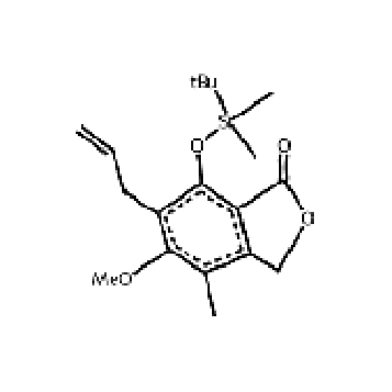 C=CCc1c(OC)c(C)c2c(c1O[Si](C)(C)C(C)(C)C)C(=O)OC2